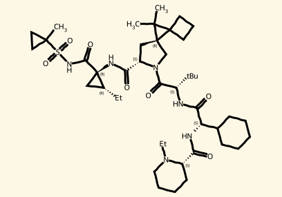 CC[C@@H]1C[C@]1(NC(=O)[C@@H]1C[C@@]2(CN1C(=O)[C@@H](NC(=O)[C@@H](NC(=O)[C@@H]1CCCCN1CC)C1CCCCC1)C(C)(C)C)C(C)(C)C21CCC1)C(=O)NS(=O)(=O)C1(C)CC1